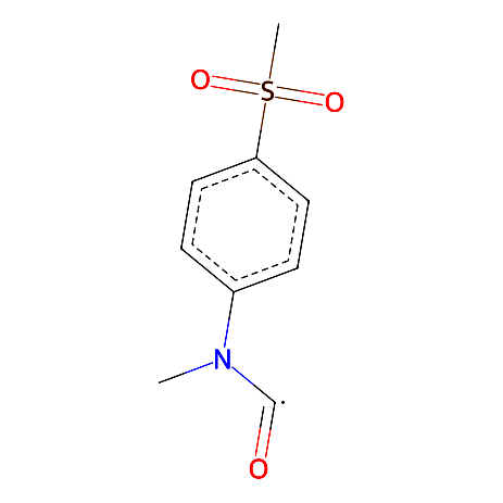 CN([C]=O)c1ccc(S(C)(=O)=O)cc1